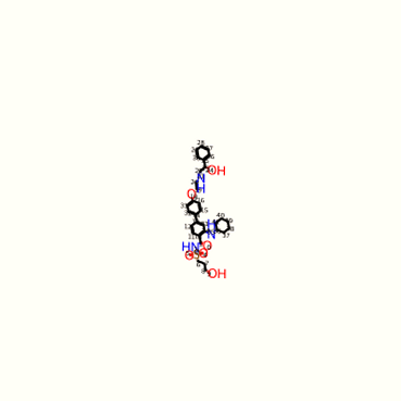 O=C(NS(=O)(=O)CCCO)c1ccc(-c2ccc(OCCNC[C@H](O)c3ccccc3)cc2)cc1NC1CCCCC1